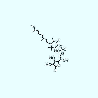 C/C=C(C)/C=C/C=C(C)/C=C/C1=C(C)C(=O)C(OP(=O)(O)OC[C@H](O)[C@H]2OC(=O)C(O)=C2O)CC1(C)C